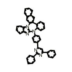 c1ccc(-c2cc(-c3ccc(N4c5ccccc5-c5cc6ccccc6cc5-n5c4nc4ccccc45)cc3)nc(-c3ccccc3)n2)cc1